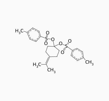 CC(C)=C1CCC(OS(=O)(=O)c2ccc(C)cc2)(OS(=O)(=O)c2ccc(C)cc2)CC1